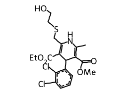 CCOC(=O)C1=C(CSCCO)NC(C)=C(C(=O)OC)C1c1cccc(Cl)c1Cl